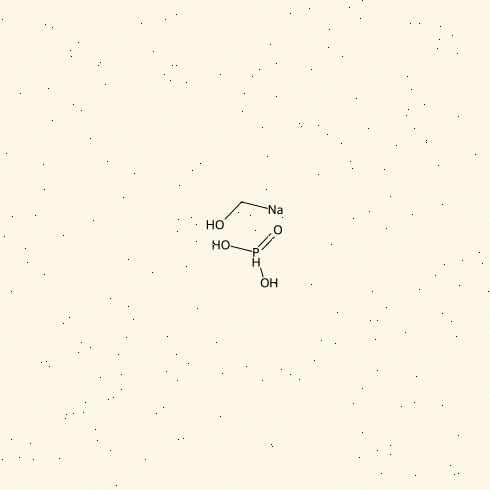 O=[PH](O)O.O[CH2][Na]